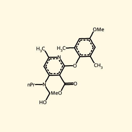 CCCN(CO)c1cc(C)nc(Oc2c(C)cc(OC)cc2C)c1C(=O)OC